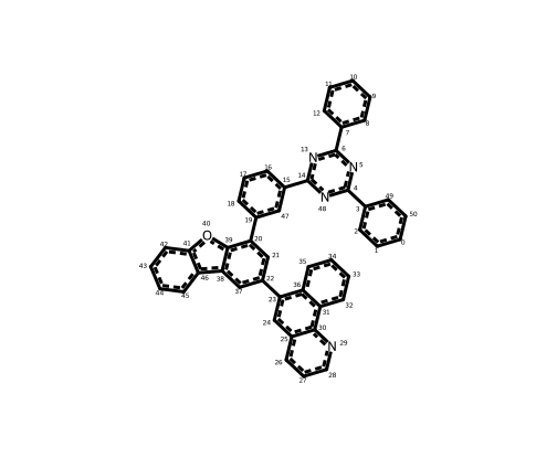 c1ccc(-c2nc(-c3ccccc3)nc(-c3cccc(-c4cc(-c5cc6cccnc6c6ccccc56)cc5c4oc4ccccc45)c3)n2)cc1